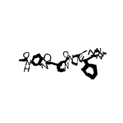 CC(=O)Nc1ccc2oc(-c3ccnc(C(=O)N4CCN(C(c5ccccc5)c5nnn(C)n5)[C@H](C)C4)c3)nc2c1